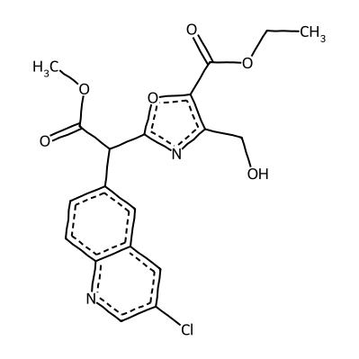 CCOC(=O)c1oc(C(C(=O)OC)c2ccc3ncc(Cl)cc3c2)nc1CO